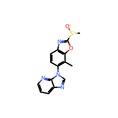 Cc1c(-n2cnc3cccnc32)ccc2nc([S+](C)[O-])oc12